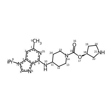 Cc1cc2c(ncn2C(C)C)c(NC2CCN(C(=O)O[C@H]3CCNC3)CC2)n1